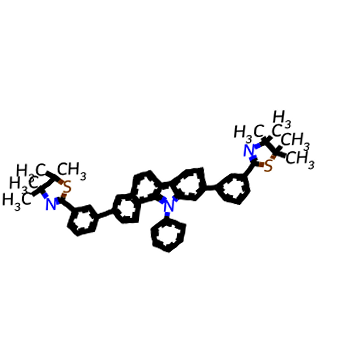 CC1(C)N=C(c2cccc(-c3ccc4c(ccc5c6ccc(-c7cccc(C8=NC(C)(C)C(C)(C)S8)c7)cc6n(-c6ccccc6)c45)c3)c2)SC1(C)C